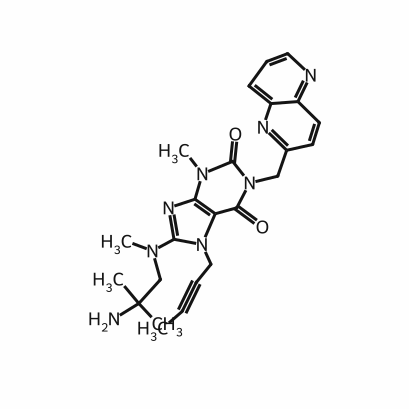 CC#CCn1c(N(C)CC(C)(C)N)nc2c1c(=O)n(Cc1ccc3ncccc3n1)c(=O)n2C